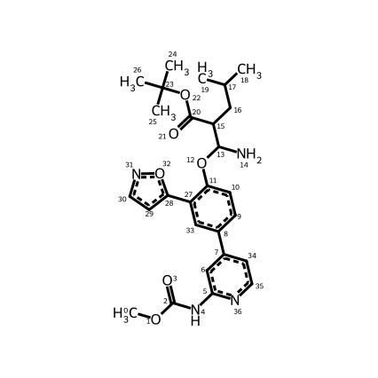 COC(=O)Nc1cc(-c2ccc(OC(N)C(CC(C)C)C(=O)OC(C)(C)C)c(-c3ccno3)c2)ccn1